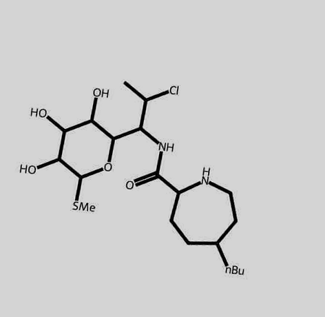 CCCCC1CCNC(C(=O)NC(C(C)Cl)C2OC(SC)C(O)C(O)C2O)CC1